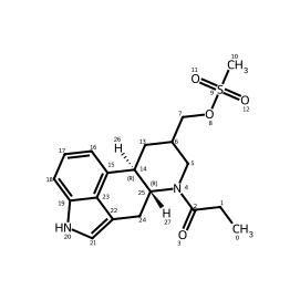 CCC(=O)N1CC(COS(C)(=O)=O)C[C@@H]2c3cccc4[nH]cc(c34)C[C@H]21